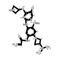 C=CC(=O)Nc1cc(Nc2ncc(Cl)c(OC3CNC3)n2)c(OC)cc1N1CC(N(C)C)C1